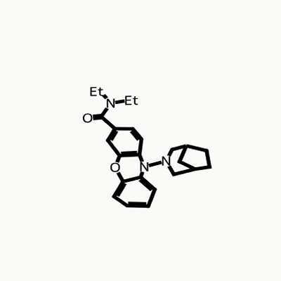 CCN(CC)C(=O)c1ccc2c(c1)Oc1ccccc1N2N1CC2CCC(C2)C1